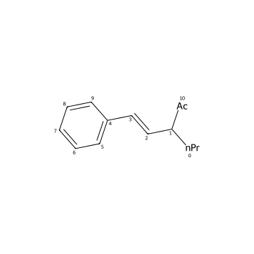 CCCC(C=Cc1ccccc1)C(C)=O